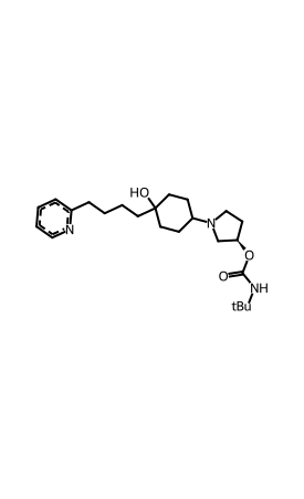 CC(C)(C)NC(=O)O[C@@H]1CCN(C2CCC(O)(CCCCc3ccccn3)CC2)C1